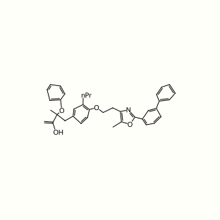 C=C(O)C(C)(Cc1ccc(OCCc2nc(-c3cccc(-c4ccccc4)c3)oc2C)c(CCC)c1)Oc1ccccc1